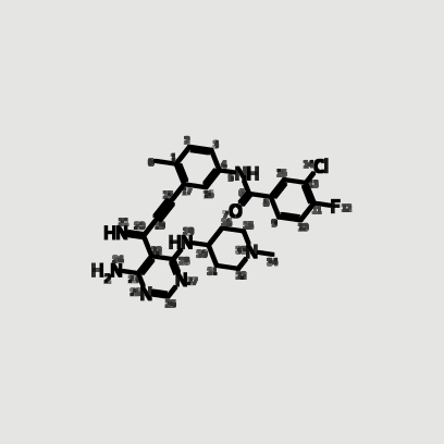 Cc1ccc(NC(=O)c2ccc(F)c(Cl)c2)cc1C#CC(=N)c1c(N)ncnc1NC1CCN(C)CC1